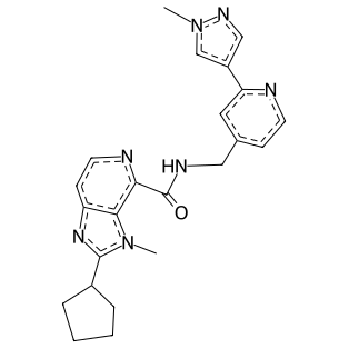 Cn1cc(-c2cc(CNC(=O)c3nccc4nc(C5CCCC5)n(C)c34)ccn2)cn1